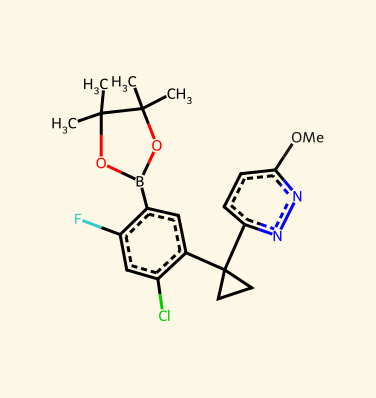 COc1ccc(C2(c3cc(B4OC(C)(C)C(C)(C)O4)c(F)cc3Cl)CC2)nn1